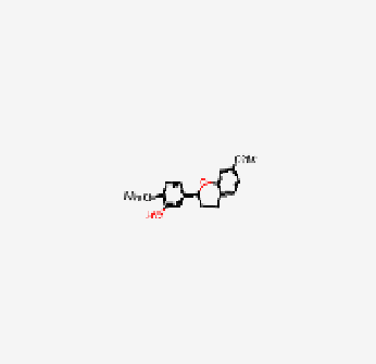 COc1ccc2c(c1)OC(c1ccc(OC)c(O)c1)CC2